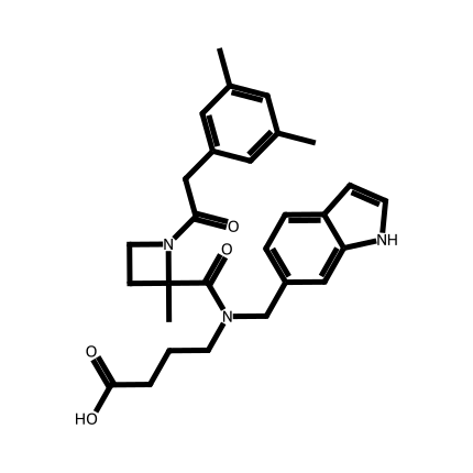 Cc1cc(C)cc(CC(=O)N2CCC2(C)C(=O)N(CCCC(=O)O)Cc2ccc3cc[nH]c3c2)c1